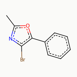 Cc1nc(Br)c(-c2ccccc2)o1